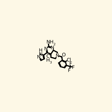 CC12CCN(C(=O)c3cccc(C(F)(F)F)c3Cl)CC1N=C(N)N=C2c1ccn[nH]1